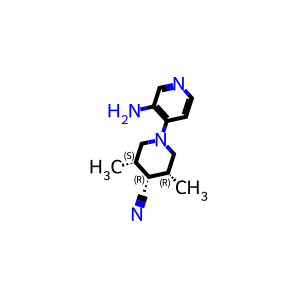 C[C@@H]1CN(c2ccncc2N)C[C@H](C)[C@@H]1C#N